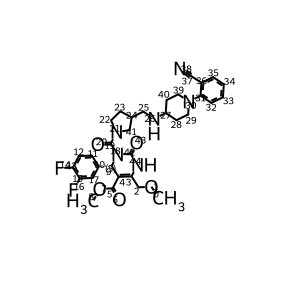 COCC1=C(C(=O)OC)[C@H](c2ccc(F)c(F)c2)N(C(=O)N2CCC(CNC3CCN(c4ccccc4C#N)CC3)C2)C(=O)N1